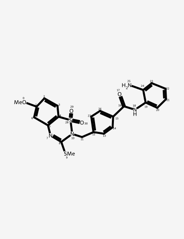 COc1ccc2c(c1)N=C(SC)N(Cc1ccc(C(=O)Nc3ccccc3N)cc1)S2(=O)=O